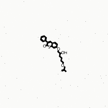 C=C(C)COCCCCC(O)COC1=CC2SC(=O)C(c3ccccc3)=CC2C=C1